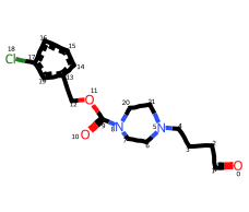 O=[C]CCCN1CCN(C(=O)OCc2cccc(Cl)c2)CC1